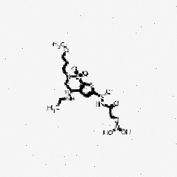 CCN[C@H]1CN(CCCOC)S(=O)(=O)c2sc([S+]([O-])NC(=O)CON(O)O)cc21